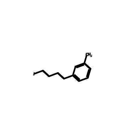 Cc1cccc(CCCCI)c1